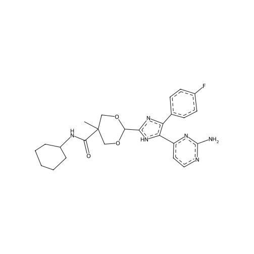 CC1(C(=O)NC2CCCCC2)COC(c2nc(-c3ccc(F)cc3)c(-c3ccnc(N)n3)[nH]2)OC1